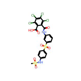 CS(=O)(=O)Nc1ccc(S(=O)(=O)c2cccc(NC(=O)c3c(Cl)c(Cl)c(Cl)c(Cl)c3C(=O)O)c2)cc1